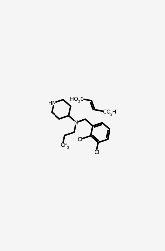 FC(F)(F)CCN(Cc1cccc(Cl)c1Cl)C1CCNCC1.O=C(O)/C=C/C(=O)O